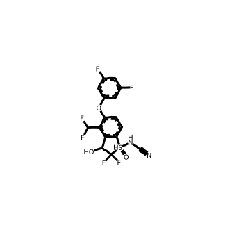 N#CN[SH]1(=O)c2ccc(Oc3cc(F)cc(F)c3)c(C(F)F)c2C(O)C1(F)F